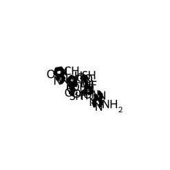 Cn1ccc(=O)c2ncn([C@@H]3C[C@@H]4OP(=O)(S)O[C@H]5[C@@H](F)[C@H](n6cnc7c(N)ncnc76)O[C@@H]5COP(=O)(S)O[C@@H]3[C@@H]4O)c21